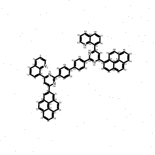 c1cnc2c(-c3cc(-c4cc5ccc6cccc7ccc(c4)c5c67)nc(-c4ccc(-c5ccc(-c6nc(-c7ccc8ccc9cccc%10ccc7c8c9%10)cc(-c7cccc8cccnc78)n6)cc5)cc4)n3)cccc2c1